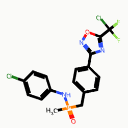 CP(=O)(Cc1ccc(-c2noc(C(F)(F)Cl)n2)cc1)Nc1ccc(Cl)cc1